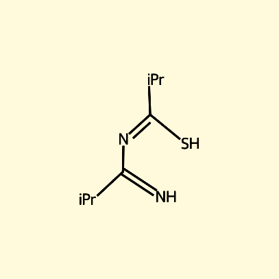 CC(C)C(=N)/N=C(\S)C(C)C